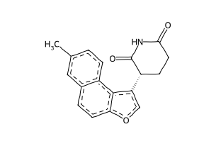 Cc1ccc2c(ccc3occ([C@H]4CCC(=O)NC4=O)c32)c1